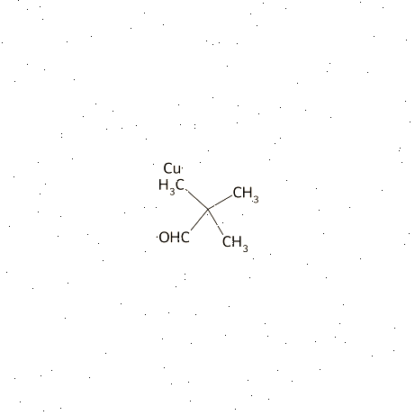 CC(C)(C)[C]=O.[Cu]